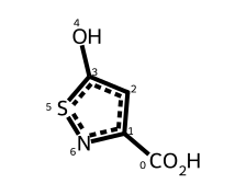 O=C(O)c1cc(O)sn1